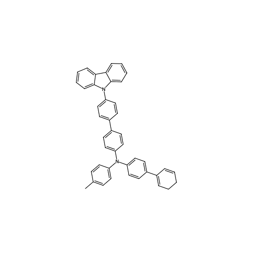 Cc1ccc(N(c2ccc(C3=CCCC=C3)cc2)c2ccc(-c3ccc(-n4c5ccccc5c5ccccc54)cc3)cc2)cc1